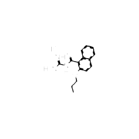 CCCOc1ccc2ccccc2c1C(=O)NC(=N)N.Cl